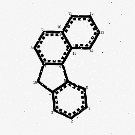 [c]1cccc2c1-c1c(ccc3ccccc13)C2